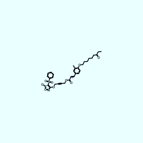 CCC(=O)CCCCCCOc1ccc(/C=C/C(=O)OCC#CCOc2no[n+]([O-])c2S(=O)(=O)c2ccccc2)cc1C